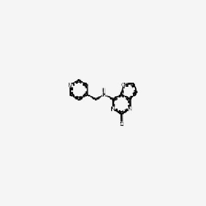 Clc1nc(NCc2ccncc2)c2occc2n1